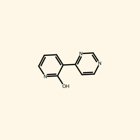 Oc1ncccc1-c1ccncn1